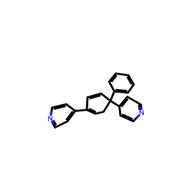 C1=CC(c2ccccc2)(c2ccncc2)CC=C1c1ccncc1